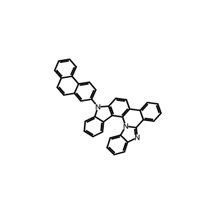 c1ccc2c(c1)ccc1cc(-n3c4ccccc4c4c3ccc3c5ccccc5c5nc6ccccc6n5c34)ccc12